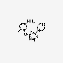 Cc1nc(Oc2cc(N)ccc2C)nc(N2CCOCC2)n1